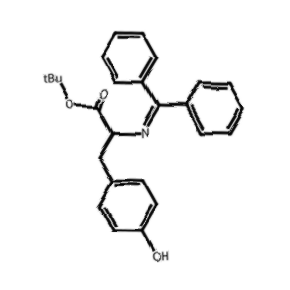 CC(C)(C)OC(=O)C(Cc1ccc(O)cc1)N=C(c1ccccc1)c1ccccc1